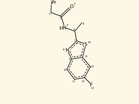 CC(C)[CH]C(=O)NC(C)c1nc2ccc(F)cc2s1